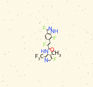 Cc1c(F)cnc(C(F)(F)F)c1NC(=O)/C(F)=C/c1ccc2c(F)n[nH]c2c1F